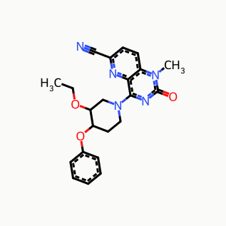 CCOC1CN(c2nc(=O)n(C)c3ccc(C#N)nc23)CCC1Oc1ccccc1